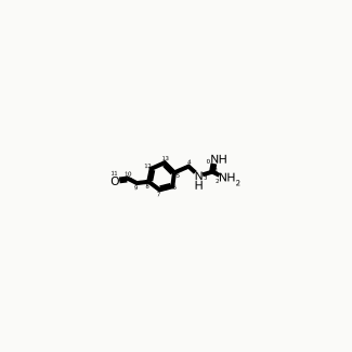 N=C(N)NCc1ccc(C[C]=O)cc1